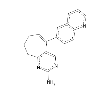 Nc1ncc2c(n1)CCCC=C2c1ccc2ncccc2c1